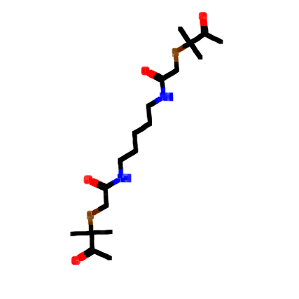 CC(=O)C(C)(C)SCC(=O)NCCCCCNC(=O)CSC(C)(C)C(C)=O